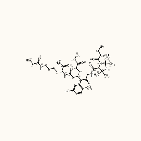 Cc1ccc(C(C)(C)C)cc1N(C(=O)CNC(=O)C1N(C(=O)[C@H](N)CC(C)C)C(C)(C)SC1(C)C)[C@@H](CCC(=O)OC(C)(C)C)CC(=O)N[C@H](CCCCNC(=O)OC(C)(C)C)C(N)=O